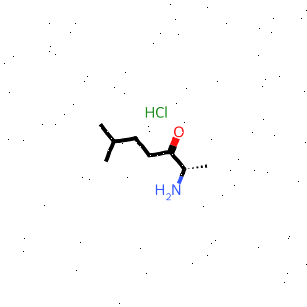 CC(C)CCC(=O)[C@H](C)N.Cl